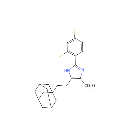 CCOC(=O)c1nc(-c2ccc(F)cc2F)[nH]c1CCC12CC3CC(CC(C3)C1)C2